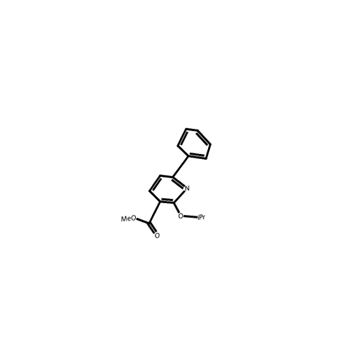 COC(=O)c1ccc(-c2ccccc2)nc1OC(C)C